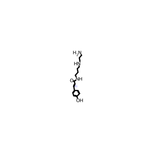 NCCCNCCCCNC(=O)/C=C/c1ccc(O)cc1